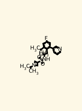 CC(C)c1cc(F)cc(-c2cccnc2)c1CC(=O)NS(=O)(=O)C1CN(C(C)C)C1